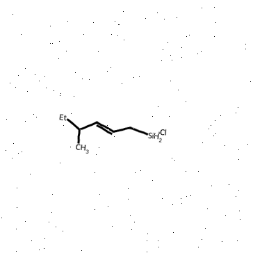 CCC(C)C=CC[SiH2]Cl